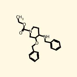 CCOC(=O)N1CCC(NCc2ccccc2)C(OCc2ccccc2)C1